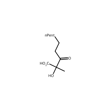 CCCCCCCC(=O)C(C)(O)C(=O)O